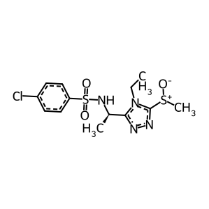 CCn1c([C@@H](C)NS(=O)(=O)c2ccc(Cl)cc2)nnc1[S+](C)[O-]